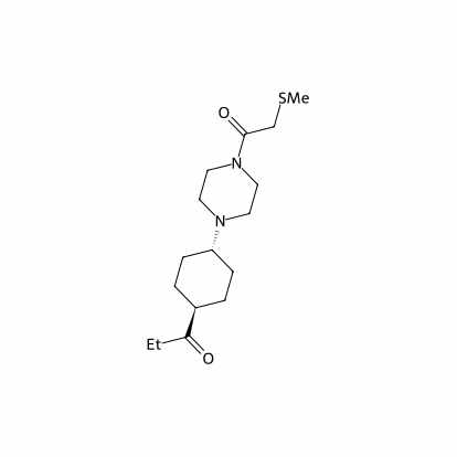 CCC(=O)[C@H]1CC[C@H](N2CCN(C(=O)CSC)CC2)CC1